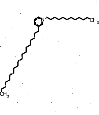 CCCCCCCCCCCCCCCCCCCc1ccc[n+](CCCCCCCCCCCC)c1